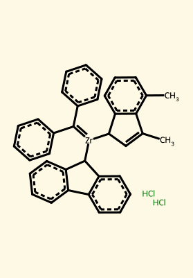 CC1=C[CH]([Zr](=[C](c2ccccc2)c2ccccc2)[CH]2c3ccccc3-c3ccccc32)c2cccc(C)c21.Cl.Cl